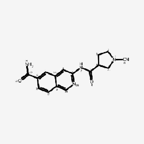 N#CN1CCC(C(=O)Nc2cc3cc(C(N)=O)ccc3cn2)C1